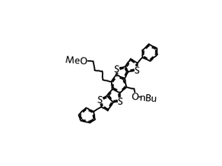 CCCCOCc1c2sc3cc(-c4ccccc4)sc3c2c(CCCCOC)c2sc3cc(-c4ccccc4)sc3c12